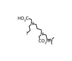 CN(C)CCN(CCCN(CCI)CC(=O)O)CC(=O)O